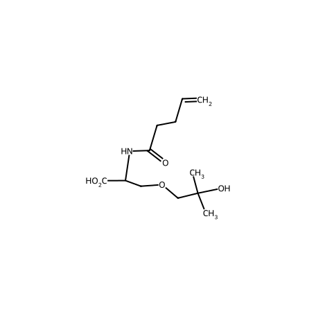 C=CCCC(=O)NC(COCC(C)(C)O)C(=O)O